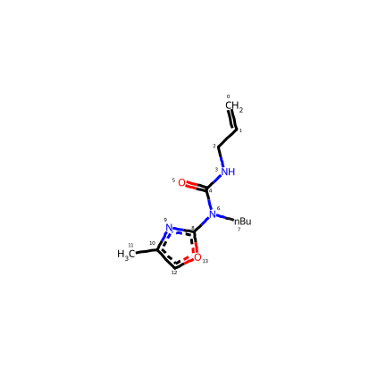 C=CCNC(=O)N(CCCC)c1nc(C)co1